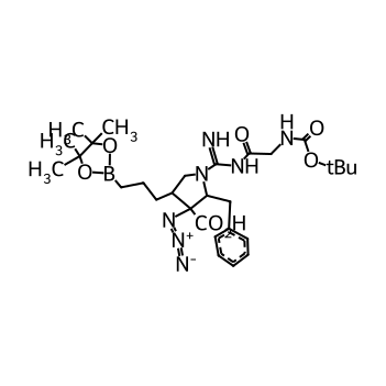 CC(C)(C)OC(=O)NCC(=O)NC(=N)N1CC(CCCB2OC(C)(C)C(C)(C)O2)C(N=[N+]=[N-])(C(=O)O)C1Cc1ccccc1